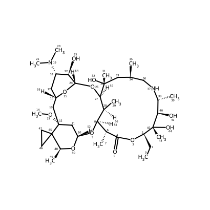 CC[C@H]1OC(=O)[C@H](C)[C@H]2O[C@H]3C[C@](OC)(C[C@@H]4C[C@H](N(C)C)[C@@H](O)[C@@H](O4)O[C@H]([C@H]2C)[C@](C)(O)C[C@@H](C)CN[C@H](C)[C@@H](O)[C@]1(C)O)C1(CC1)[C@H](C)O3